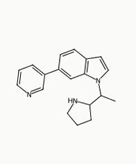 CC(C1CCCN1)n1ccc2ccc(-c3cccnc3)cc21